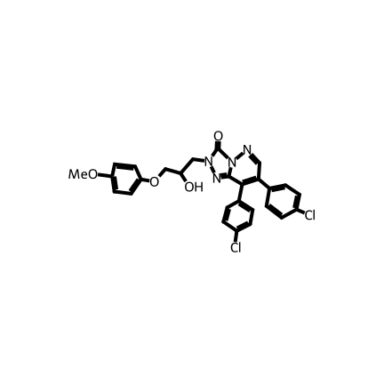 COc1ccc(OCC(O)Cn2nc3c(-c4ccc(Cl)cc4)c(-c4ccc(Cl)cc4)cnn3c2=O)cc1